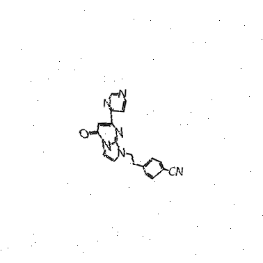 N#Cc1ccc(CCn2ccn3c(=O)cc(-c4ccncn4)nc23)cc1